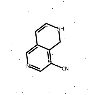 N#Cc1cncc2c1CNC=C2